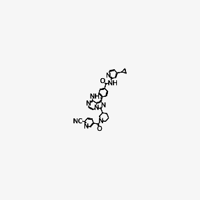 N#Cc1ccc(C(=O)N2CCCC(c3nc(-c4ccc(C(=O)Nc5cc(C6CC6)ccn5)cc4)c4c(N)nccn34)C2)cn1